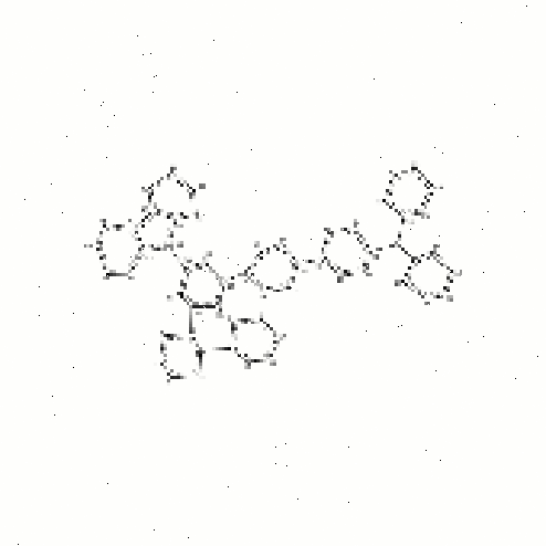 c1ccc(-c2ccccc2-c2nc(-c3ccc(-c4ccc(N(c5ccccc5)c5ccccc5)cc4)cc3)nc(-n3c4ccccc4c4ccccc43)n2)cc1